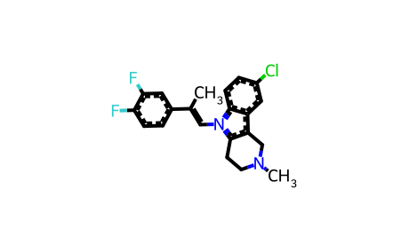 CC(=Cn1c2c(c3cc(Cl)ccc31)CN(C)CC2)c1ccc(F)c(F)c1